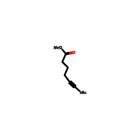 CCCCC#CCCCC(=O)OC